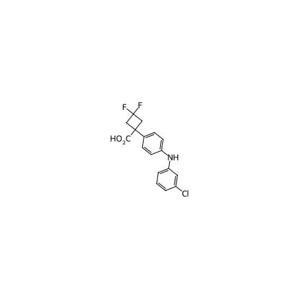 O=C(O)C1(c2ccc(Nc3cccc(Cl)c3)cc2)CC(F)(F)C1